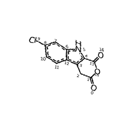 O=C1Cc2c([nH]c3cc(Cl)ccc23)C(=O)O1